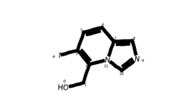 OCc1c(I)ccc2cncn12